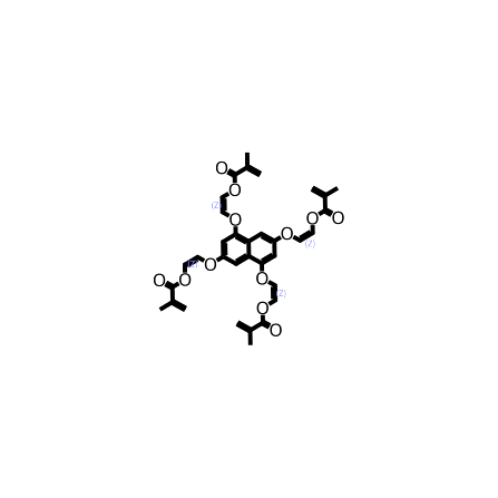 C=C(C)C(=O)O/C=C\Oc1cc(O/C=C\OC(=O)C(=C)C)c2cc(O/C=C\OC(=O)C(=C)C)cc(O/C=C\OC(=O)C(=C)C)c2c1